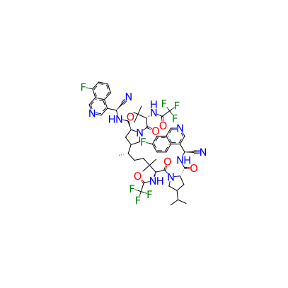 CC(C)C1C[C@@H](C(=O)N[C@H](C#N)c2cncc3cc(F)ccc23)N(C(=O)[C@@H](NC(=O)C(F)(F)F)C(C)(C)CC[C@H](C)C2C[C@@H](C(=O)N[C@H](C#N)c3cncc4c(F)cccc34)N(C(=O)[C@@H](NC(=O)C(F)(F)F)C(C)(C)C)C2)C1